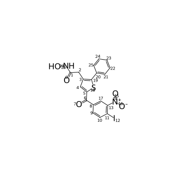 O=C(Cc1cc(C(=O)c2ccc(I)c([N+](=O)[O-])c2)sc1-c1ccccc1)NO